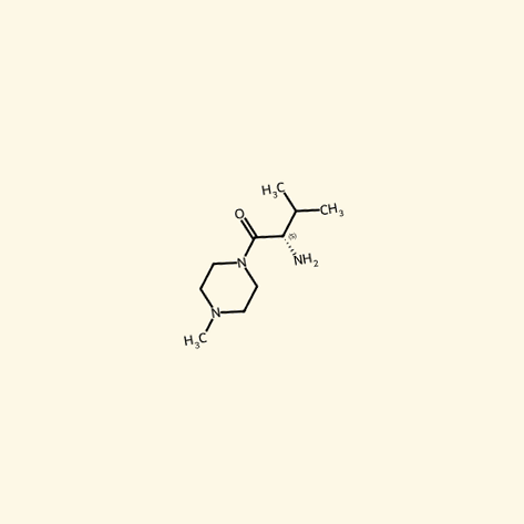 CC(C)[C@H](N)C(=O)N1CCN(C)CC1